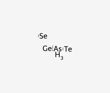 [AsH3].[Ge].[Se].[Te]